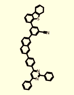 N#Cc1cc(-c2ccc3ccc(-c4ccc(-c5cc(-c6ccccc6)nc(-c6ccccc6)n5)cc4)cc3c2)cc(-c2cccc3c4c(sc23)CCC=C4)c1